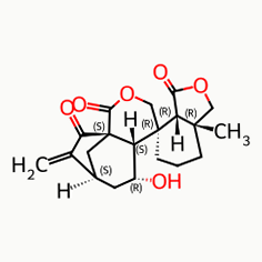 C=C1C(=O)[C@]23C[C@H]1C[C@@H](O)[C@H]2[C@@]1(CCC[C@@]2(C)COC(=O)[C@H]21)COC3=O